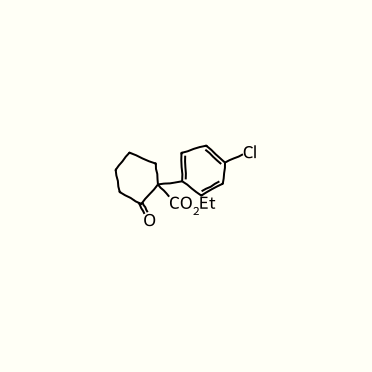 CCOC(=O)C1(c2ccc(Cl)cc2)CCCCC1=O